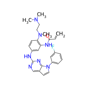 C=CC(=O)Nc1cc(Nc2ncc3ccn(-c4cccc(F)c4)c3n2)ccc1N(C)CCN(C)C